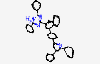 N/C(=N\C(=N/Cc1ccccc1)c1cc(-c2ccc(-c3cc(-c4ccccc4)cc(C4=CCC=CC=C4)n3)cc2)c2ccccc2c1)c1ccccc1